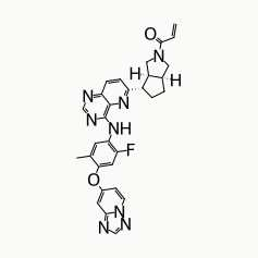 C=CC(=O)N1C[C@H]2CC[C@H](c3ccc4ncnc(Nc5cc(C)c(Oc6ccn7ncnc7c6)cc5F)c4n3)[C@H]2C1